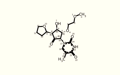 COCCO[C@H]1[C@H](O)[C@H](C2CCCO2)C(=O)[C@@H]1n1cc(C)c(=O)[nH]c1=O